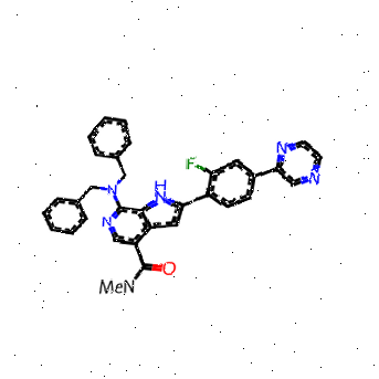 CNC(=O)c1cnc(N(Cc2ccccc2)Cc2ccccc2)c2[nH]c(-c3ccc(-c4cnccn4)cc3F)cc12